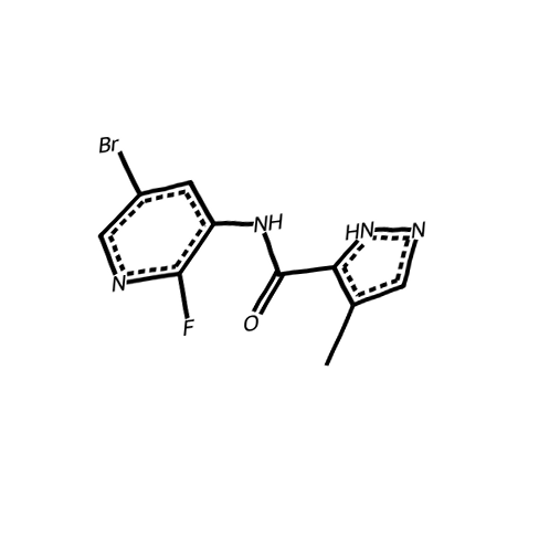 Cc1cn[nH]c1C(=O)Nc1cc(Br)cnc1F